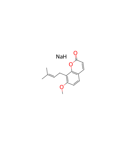 COc1ccc2ccc(=O)oc2c1CC=C(C)C.[NaH]